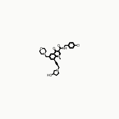 Cn1cc(C(=O)NCc2ccc(Cl)cc2)c(=O)c2cc(CN3CCOCC3)cc(C#CCN3CCC(O)C3)c21